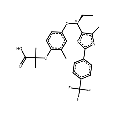 CC[C@H](Oc1ccc(OC(C)(C)C(=O)O)c(C)c1)c1sc(-c2ccc(C(F)(F)F)cc2)nc1C